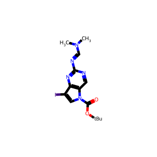 CN(C)/C=N/c1ncc2c(n1)c(I)cn2C(=O)OC(C)(C)C